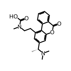 C[C@H](c1cc(CCN(C)C(=O)O)c2c(c1)oc(=O)c1ccccc12)N(C)C